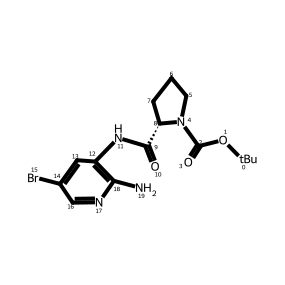 CC(C)(C)OC(=O)N1CCC[C@H]1C(=O)Nc1cc(Br)cnc1N